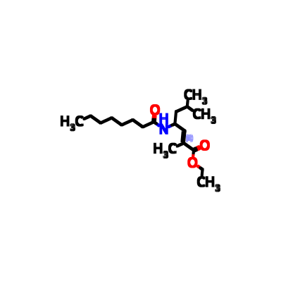 CCCCCCCC(=O)NC(/C=C(\C)C(=O)OCC)CC(C)C